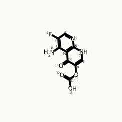 Nc1c(F)cnc2[nH]cc(OC(=O)O)c(=O)c12